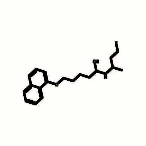 [CH2]CCC(C)NC(O)CCCCOc1cccc2ccccc12